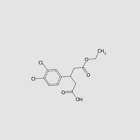 CCOC(=O)CC(CC(=O)O)c1ccc(Cl)c(Cl)c1